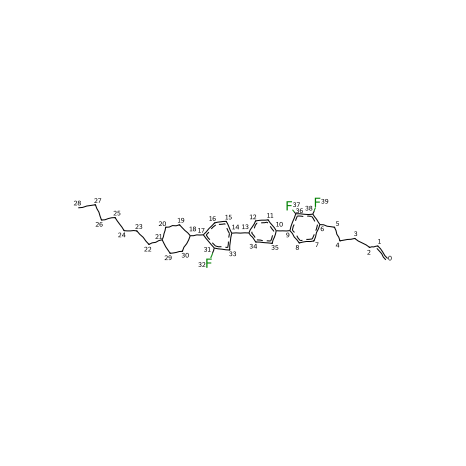 C=CCCCCc1ccc(-c2ccc(-c3ccc(C4CCC(CCCCCCC)CC4)c(F)c3)cc2)c(F)c1F